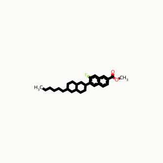 CCCCCCC1CCC2CC(c3cc4ccc(C(=O)OC)cc4cc3F)CCC2C1